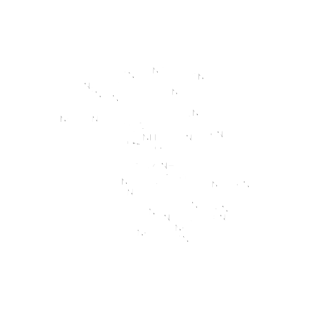 N#CCCN(CC#N)CCCOC(C(=O)NC(COCCCN(CCC#N)CCC#N)(COCCCN(CCC#N)CCC#N)OCCCN(CCC#N)CCC#N)C(OCCCN(CCC#N)CCC#N)C(=O)NC(COCCCN(CCC#N)CCC#N)(COCCCN(CCC#N)CCC#N)OCCCN(CCC#N)CCC#N